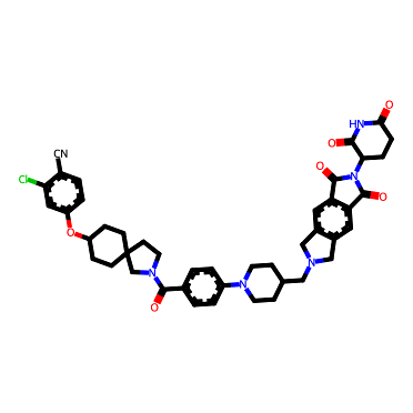 N#Cc1ccc(OC2CCC3(CC2)CCN(C(=O)c2ccc(N4CCC(CN5Cc6cc7c(cc6C5)C(=O)N(C5CCC(=O)NC5=O)C7=O)CC4)cc2)C3)cc1Cl